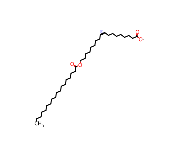 CCCCCCCCCCCCCCCCCC(=O)OCCCCCCCC/C=C\CCCCCCCC([O])=O